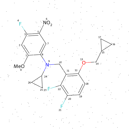 COc1cc(F)c([N+](=O)[O-])cc1N(Cc1c(OCC2CC2)ccc(F)c1F)C1CC1